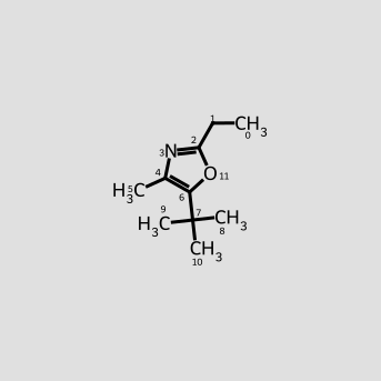 CCc1nc(C)c(C(C)(C)C)o1